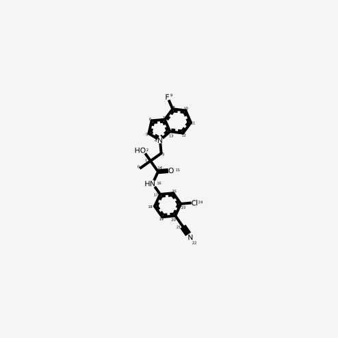 CC(O)(Cn1ccc2c(F)cccc21)C(=O)Nc1ccc(C#N)c(Cl)c1